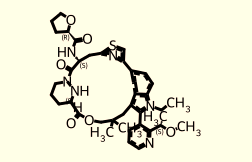 CCn1c(-c2cccnc2[C@H](C)OC)c2c3cc(ccc31)-c1csc(n1)C[C@H](NC(=O)[C@H]1CCCO1)C(=O)N1CCC[C@H](N1)C(=O)OCC(C)(C)C2